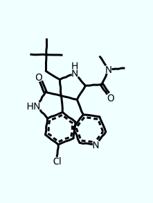 CN(C)C(=O)C1NC(CC(C)(C)C)C2(C(=O)Nc3cc(Cl)ccc32)C1c1ccncc1